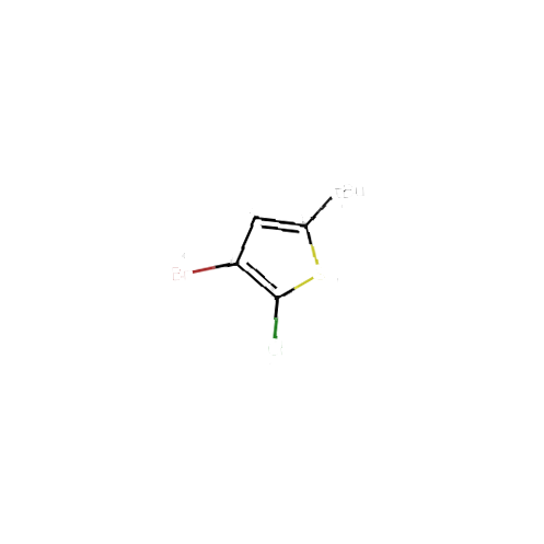 CC(C)(C)c1cc(Br)c(Cl)s1